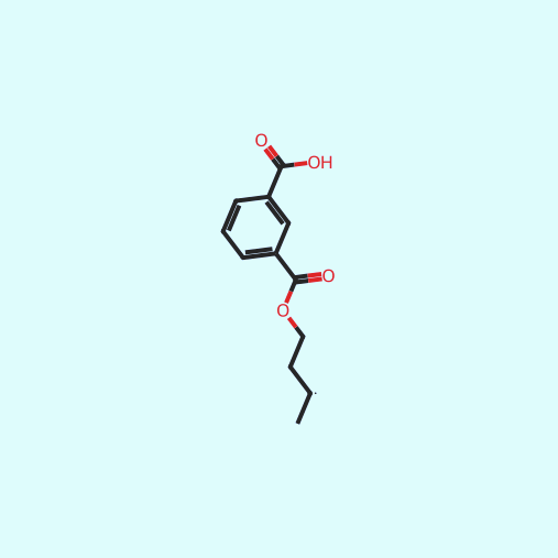 C[CH]CCOC(=O)c1cccc(C(=O)O)c1